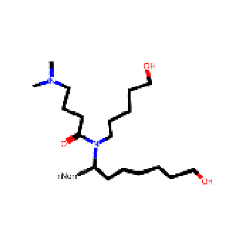 CCCCCCCCCC(CCCCCCO)N(CCCCCO)C(=O)CCCN(C)C